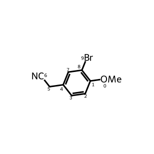 COc1ccc(CC#N)cc1Br